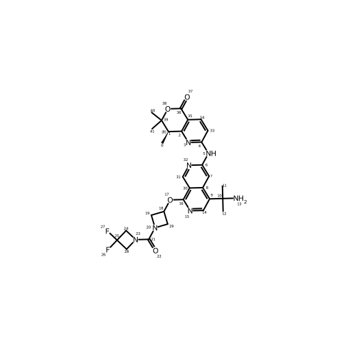 C[C@@H]1c2nc(Nc3cc4c(C(C)(C)N)cnc(OC5CN(C(=O)N6CC(F)(F)C6)C5)c4cn3)ccc2C(=O)OC1(C)C